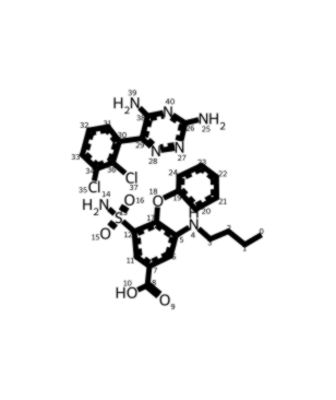 CCCCNc1cc(C(=O)O)cc(S(N)(=O)=O)c1Oc1ccccc1.Nc1nnc(-c2cccc(Cl)c2Cl)c(N)n1